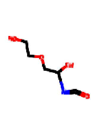 O=C=NC(O)COCCO